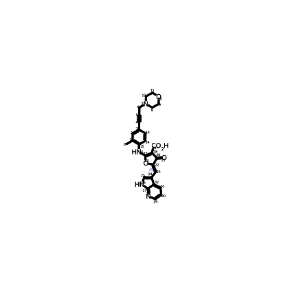 Cc1cc(C#CCN2CCOCC2)ccc1NC1=C(C(=O)O)C(=O)/C(=C/c2c[nH]c3ncccc23)O1